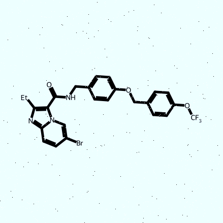 CCc1nc2ccc(Br)cn2c1C(=O)NCc1ccc(OCc2ccc(OC(F)(F)F)cc2)cc1